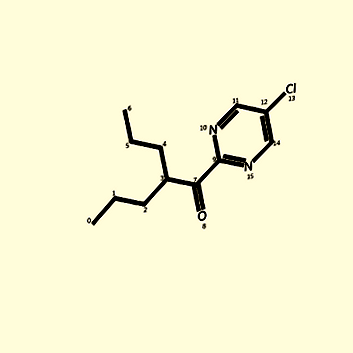 CCCC(CCC)C(=O)c1ncc(Cl)cn1